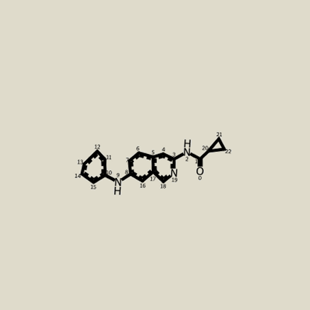 O=C(Nc1cc2ccc(Nc3ccccc3)cc2cn1)C1CC1